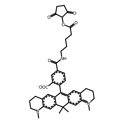 CN1CCCc2cc3c(cc21)C(C)(C)c1cc2c(cc1=C3c1ccc(C(=O)NCCCCC(=O)OC3C(=O)CCC3=O)cc1C(=O)[O-])CCC[N+]=2C